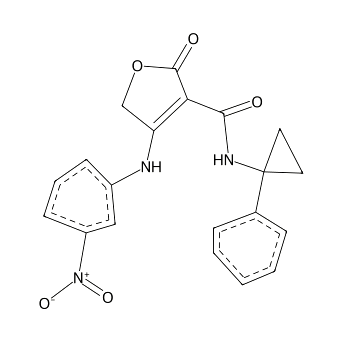 O=C(NC1(c2ccccc2)CC1)C1=C(Nc2cccc([N+](=O)[O-])c2)COC1=O